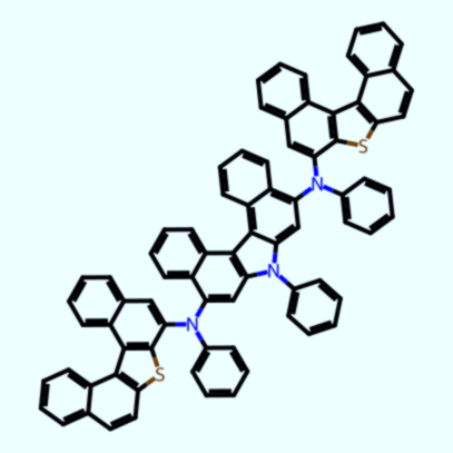 c1ccc(N(c2cc3c(c4ccccc24)c2c4ccccc4c(N(c4ccccc4)c4cc5ccccc5c5c4sc4ccc6ccccc6c45)cc2n3-c2ccccc2)c2cc3ccccc3c3c2sc2ccc4ccccc4c23)cc1